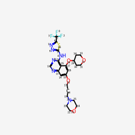 FC(F)(F)c1nnc(Nc2ncnc3cc(OCCCN4CCOCC4)cc(OC4CCOCC4)c23)s1